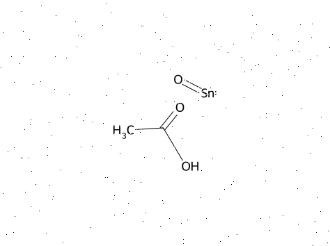 CC(=O)O.[O]=[Sn]